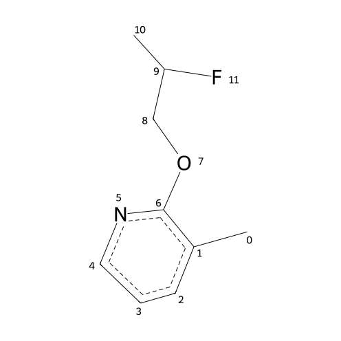 Cc1cccnc1OCC(C)F